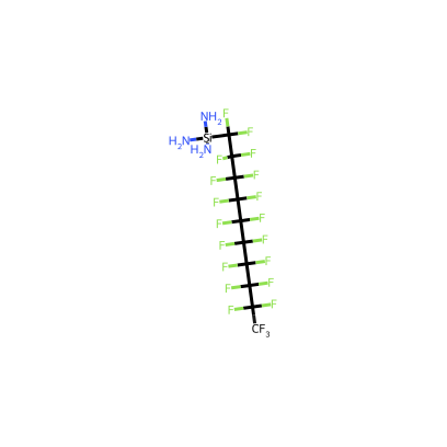 N[Si](N)(N)C(F)(F)C(F)(F)C(F)(F)C(F)(F)C(F)(F)C(F)(F)C(F)(F)C(F)(F)C(F)(F)C(F)(F)F